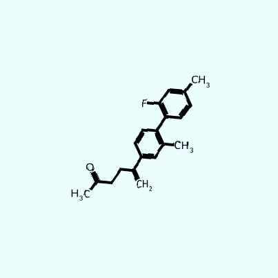 C=C(CCC(C)=O)c1ccc(-c2ccc(C)cc2F)c(C)c1